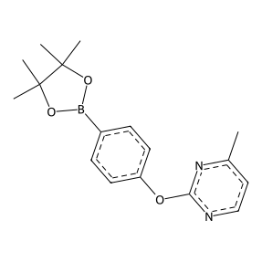 Cc1ccnc(Oc2ccc(B3OC(C)(C)C(C)(C)O3)cc2)n1